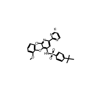 COc1ccccc1Oc1c(NS(=O)(=O)c2ccc(C(C)(C)C)cc2)cc(-c2ncccn2)nc1Cl.[K]